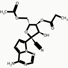 CCC(=O)O[C@H]1[C@@H](O)[C@](C#N)(c2ccc3c(N)ncnn23)O[C@@H]1COC(C)=O